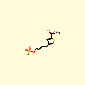 COC(=O)c1[c]c(CCCCOS(C)(=O)=O)cs1